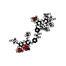 O=C(Nc1ccc(S[C@@H]2O[C@H](COS(=O)(=O)O)[C@@H](O[C@H]3O[C@H](COS(=O)(=O)O)[C@@H](OS(=O)(=O)O)[C@H](OS(=O)(=O)O)[C@H]3OS(=O)(=O)O)[C@H](OS(=O)(=O)O)[C@H]2OS(=O)(=O)O)cc1)Nc1ccc(S[C@@H]2O[C@H](COS(=O)(=O)O)[C@@H](O[C@H]3O[C@H](COS(=O)(=O)O)[C@@H](OS(=O)(=O)O)[C@H](OS(=O)(=O)O)[C@H]3OS(=O)(=O)O)[C@H](OS(=O)(=O)O)[C@H]2OS(=O)(=O)O)cc1